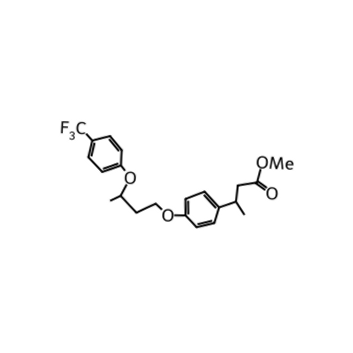 COC(=O)CC(C)c1ccc(OCCC(C)Oc2ccc(C(F)(F)F)cc2)cc1